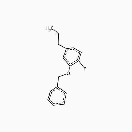 CCCc1ccc(F)c(OCc2ccccc2)c1